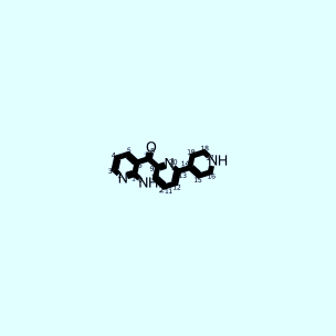 Nc1ncccc1C(=O)c1cccc(C2=CCNCC2)n1